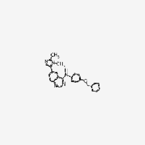 Cc1ncc(-c2ccc3ncnc(Nc4ccc(OCc5ccccc5)cc4)c3c2)n1C